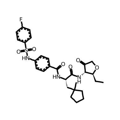 CC[C@@H]1OCC(=O)[C@H]1NC(=O)[C@H](CC1(C)CCCC1)NC(=O)c1ccc(NS(=O)(=O)c2ccc(F)cc2)cc1